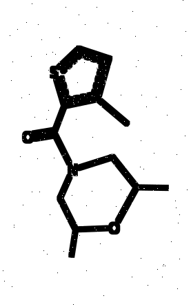 Cc1ccsc1C(=O)N1CC(C)OC(C)C1